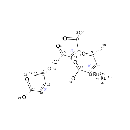 O=C([O-])/C=C\C(=O)[O-].O=C([O-])/C=C\C(=O)[O-].O=C([O-])/C=C\C(=O)[O-].[Ru+3].[Ru+3]